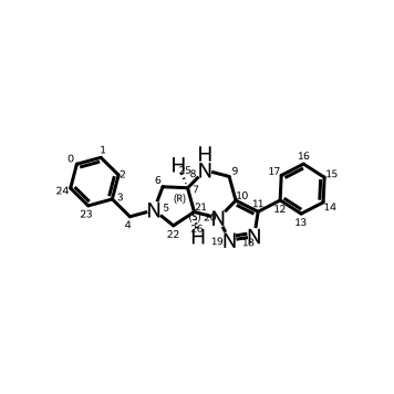 c1ccc(CN2C[C@H]3NCc4c(-c5ccccc5)nnn4[C@H]3C2)cc1